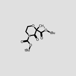 CC(C)(C)OC(=O)N1CCOC(C)(C(=O)OC(C)(C)C)C1=O